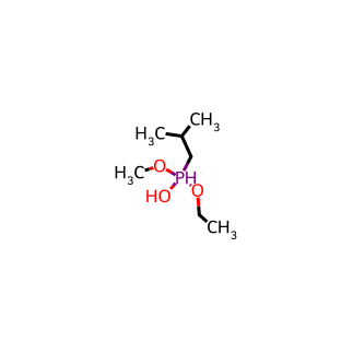 CCO[PH](O)(CC(C)C)OC